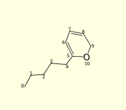 CCCCCC1=CC=CCO1